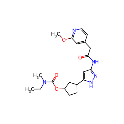 CCN(C)C(=O)OC1CCC(c2cc(NC(=O)Cc3ccnc(OC)c3)n[nH]2)C1